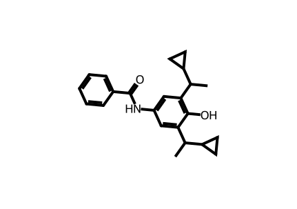 CC(c1cc(NC(=O)c2ccccc2)cc(C(C)C2CC2)c1O)C1CC1